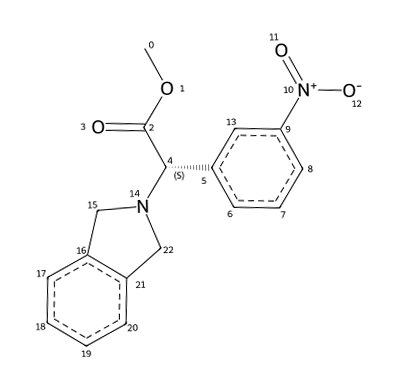 COC(=O)[C@H](c1cccc([N+](=O)[O-])c1)N1Cc2ccccc2C1